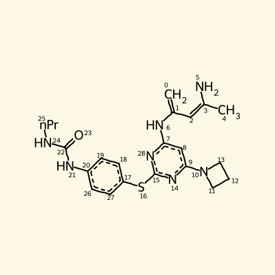 C=C(/C=C(/C)N)Nc1cc(N2CCC2)nc(Sc2ccc(NC(=O)NCCC)cc2)n1